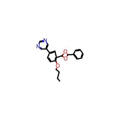 CCCCOc1ccc(-c2cncnc2)cc1C1OC(c2ccccc2)O1